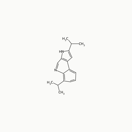 CC(C)c1cc2c(cnc3c(C(C)C)cccc32)[nH]1